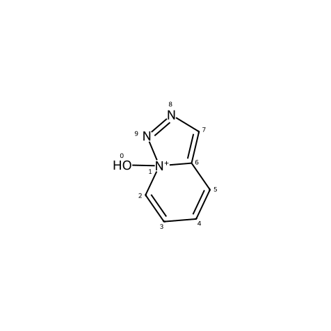 O[N+]12C=CC=CC1=CN=N2